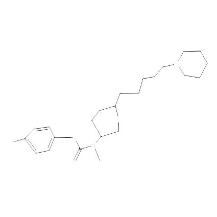 CN(C(=O)Oc1ccc(Cl)cc1)C1CCC(CCCCCN2CCCCC2)CC1